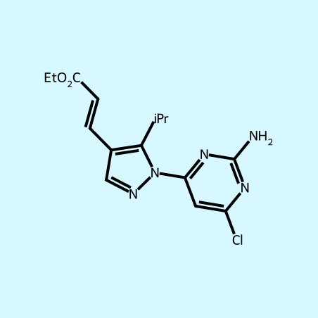 CCOC(=O)C=Cc1cnn(-c2cc(Cl)nc(N)n2)c1C(C)C